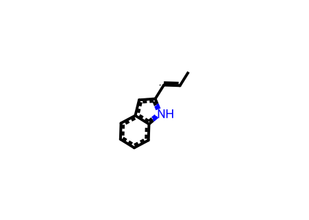 C/C=[C]/c1cc2ccccc2[nH]1